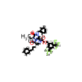 CC(C)[C@H]1C(=O)N(Cc2ccccc2)C[C@@H]2N(C(=O)OCc3cc(C(F)(F)F)cc(C(F)(F)F)c3)C[C@H](CCCc3ccccc3)C(=O)N12